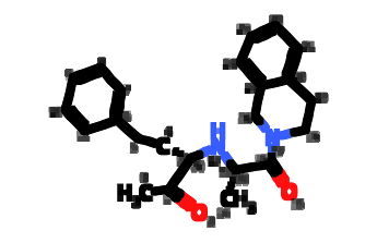 CC(=O)[C@H](CCc1ccccc1)N[C@@H](C)C(=O)N1CCc2ccccc2C1